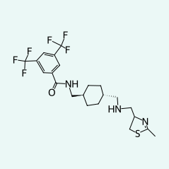 CC1=NC(CNC[C@H]2CC[C@H](CNC(=O)c3cc(C(F)(F)F)cc(C(F)(F)F)c3)CC2)CS1